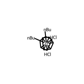 CCCC[C]12[CH]3[CH]4[CH]5[C]1(CCCC)[Zr]43521678[CH]2[CH]1[CH]6[CH]7[CH]28.Cl.Cl